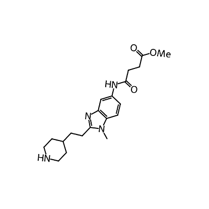 COC(=O)CCC(=O)Nc1ccc2c(c1)nc(CCC1CCNCC1)n2C